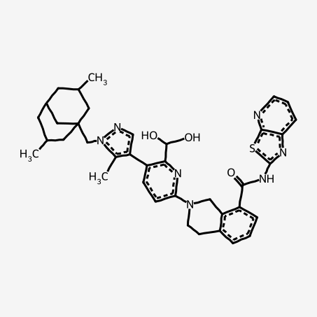 Cc1c(-c2ccc(N3CCc4cccc(C(=O)Nc5nc6cccnc6s5)c4C3)nc2C(O)O)cnn1CC12CC(C)CC(CC(C)C1)C2